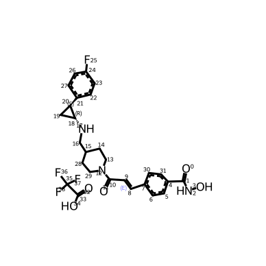 O=C(NO)c1ccc(/C=C/C(=O)N2CCC(CN[C@@H]3C[C@H]3c3ccc(F)cc3)CC2)cc1.O=C(O)C(F)(F)F